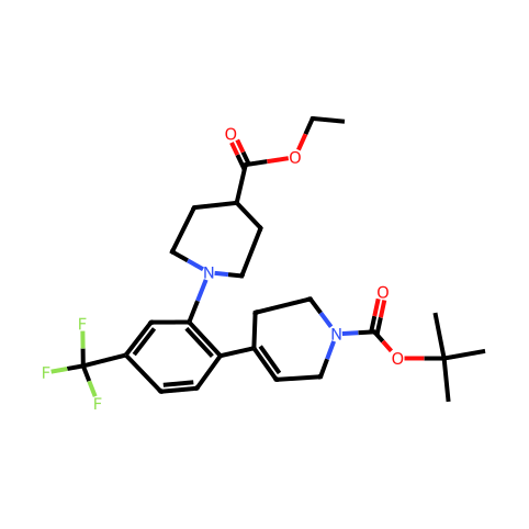 CCOC(=O)C1CCN(c2cc(C(F)(F)F)ccc2C2=CCN(C(=O)OC(C)(C)C)CC2)CC1